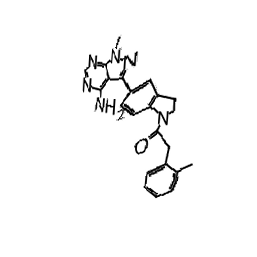 Cc1ccccc1CC(=O)N1CCc2cc(-c3nn(C)c4ncnc(N)c34)ccc21